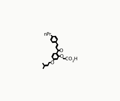 CCCc1ccc(/C=C/C(=O)c2ccc(OCC=C(C)C)cc2OCC(=O)O)cc1